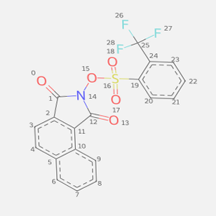 O=C1c2ccc3ccccc3c2C(=O)N1OS(=O)(=O)c1ccccc1C(F)(F)F